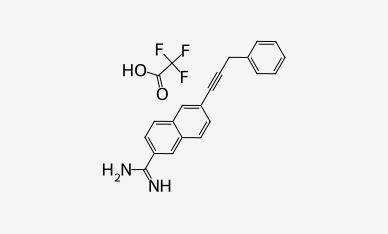 N=C(N)c1ccc2cc(C#CCc3ccccc3)ccc2c1.O=C(O)C(F)(F)F